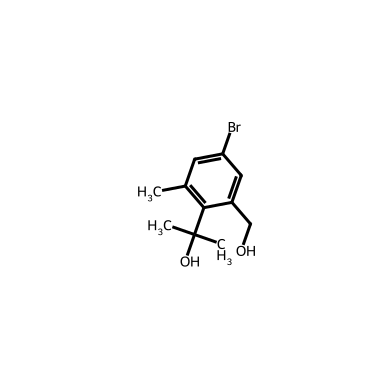 Cc1cc(Br)cc(CO)c1C(C)(C)O